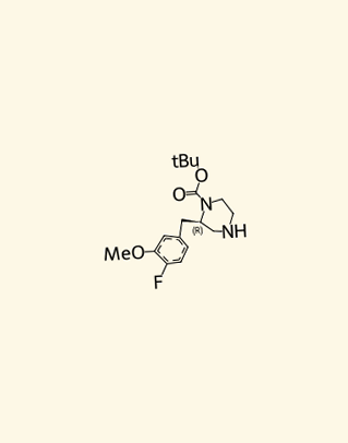 COc1cc(C[C@@H]2CNCCN2C(=O)OC(C)(C)C)ccc1F